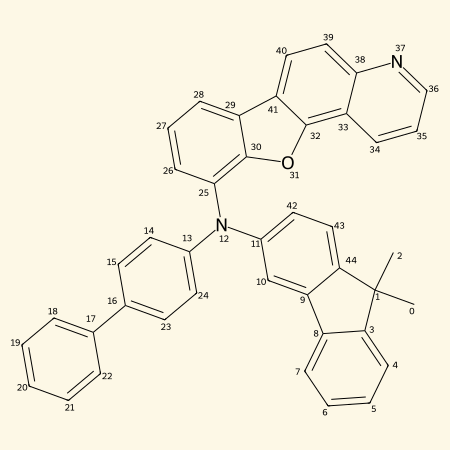 CC1(C)c2ccccc2-c2cc(N(c3ccc(-c4ccccc4)cc3)c3cccc4c3oc3c5cccnc5ccc43)ccc21